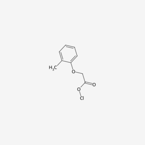 Cc1ccccc1OCC(=O)OCl